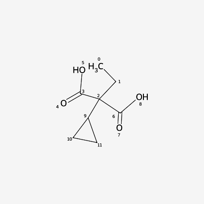 CCC(C(=O)O)(C(=O)O)C1CC1